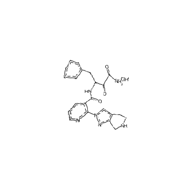 Cl.NC(=O)C(=O)C(Cc1ccccc1)NC(=O)c1cccnc1-n1cc2c(n1)CNCC2